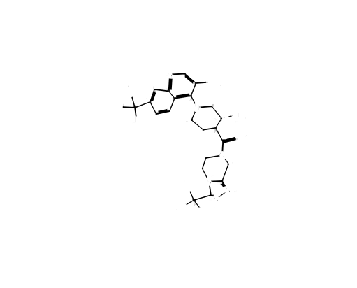 Cc1cnc2cc(C(C)(F)F)ccc2c1N1CCC(C(=O)N2CCn3c(nnc3C(F)(F)F)C2)[C@H](C)C1